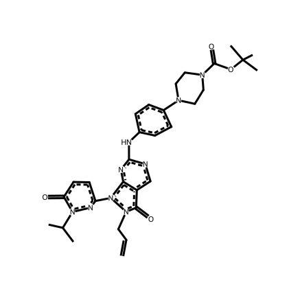 C=CCn1c(=O)c2cnc(Nc3ccc(N4CCN(C(=O)OC(C)(C)C)CC4)cc3)nc2n1-c1ccc(=O)n(C(C)C)n1